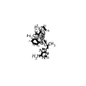 CC(Cn1cnc2c(N)ncnc21)OCP(=O)(NC(C(C)C)C1OCCO1)Oc1ccccc1